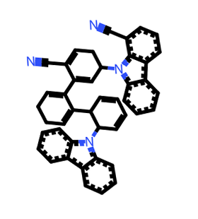 N#CC1=CCC(n2c3ccccc3c3cccc(C#N)c32)C=C1C1=CCCC=C1C1C=CC=CC1n1c2ccccc2c2ccccc21